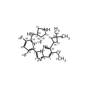 COc1cc2ncc(-c3nc(N[C@H]4CNC[C@@H]4F)c(F)cc3F)n2nc1C1CC(C)(C)C1